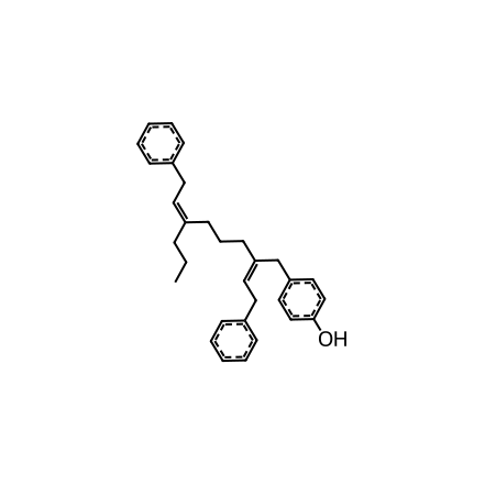 CCCC(=CCc1ccccc1)CCCC(=CCc1ccccc1)Cc1ccc(O)cc1